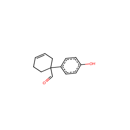 O=CC1(c2ccc(O)cc2)CC=CCC1